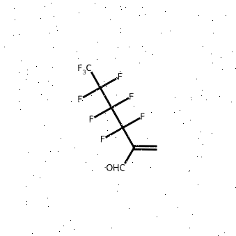 C=C([C]=O)C(F)(F)C(F)(F)C(F)(F)C(F)(F)F